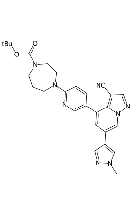 Cn1cc(-c2cc(-c3ccc(N4CCCN(C(=O)OC(C)(C)C)CC4)nc3)c3c(C#N)cnn3c2)cn1